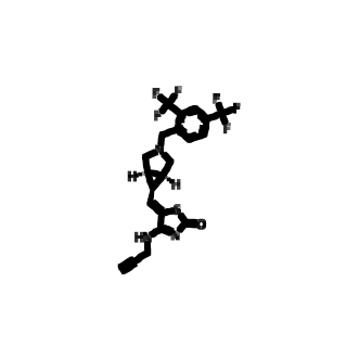 C#CCNC1=NC(=O)S/C1=C\[C@H]1[C@H]2CN(Cc3ccc(C(F)(F)F)cc3C(F)(F)F)C[C@@H]12